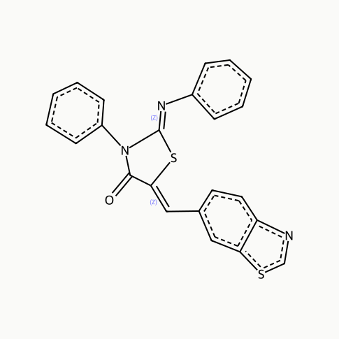 O=C1/C(=C/c2ccc3ncsc3c2)S/C(=N\c2ccccc2)N1c1ccccc1